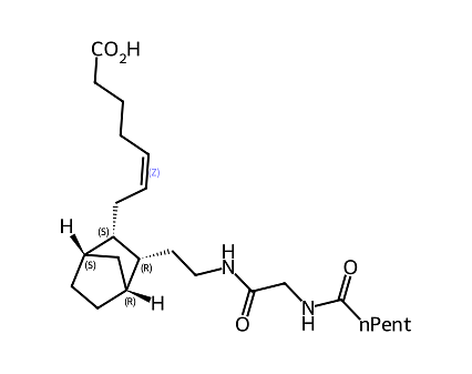 CCCCCC(=O)NCC(=O)NCC[C@@H]1[C@@H]2CC[C@@H](C2)[C@@H]1C/C=C\CCCC(=O)O